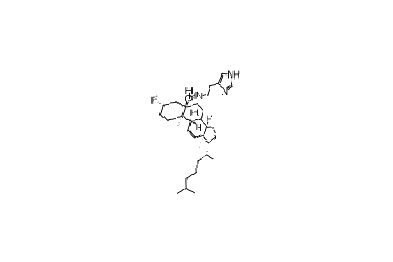 CC(C)CCCC(C)[C@H]1CC[C@H]2[C@@H]3C[C@@H](NCCc4c[nH]cn4)[C@@]4(O)C[C@@H](F)CC[C@]4(C)[C@H]3CC[C@]12C